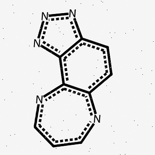 c1cnc2ccc3nnnc3c2nc1